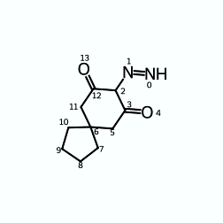 N=NC1C(=O)CC2(CCCC2)CC1=O